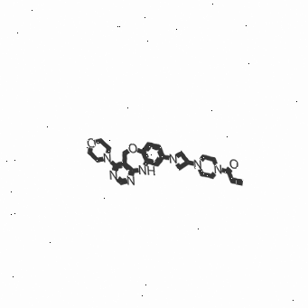 C=CC(=O)N1CCN(C2CN(c3ccc4c(c3)Nc3ncnc(N5CCOCC5)c3CO4)C2)CC1